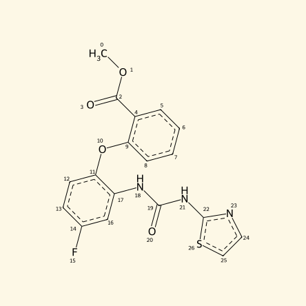 COC(=O)c1ccccc1Oc1ccc(F)cc1NC(=O)Nc1nccs1